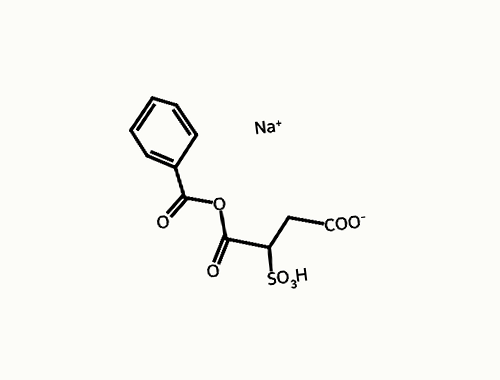 O=C([O-])CC(C(=O)OC(=O)c1ccccc1)S(=O)(=O)O.[Na+]